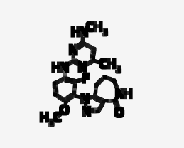 CNc1cc(C)nc(Nc2ccc(OC)c(-n3ncc4c3CCCNC4=O)c2F)n1